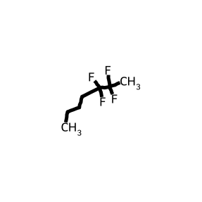 CCCCC(F)(F)C(C)(F)F